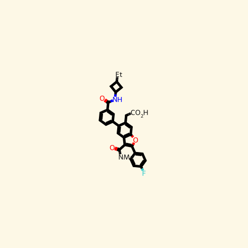 CCC1CC(NC(=O)c2cccc(-c3cc4c(C(=O)NC)c(-c5ccc(F)cc5)oc4cc3CC(=O)O)c2)C1